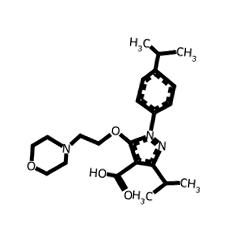 CC(C)c1ccc(-n2nc(C(C)C)c(C(=O)O)c2OCCN2CCOCC2)cc1